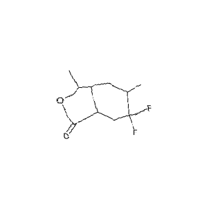 CC1OC(=O)C2CC(F)(F)C(C)CC12